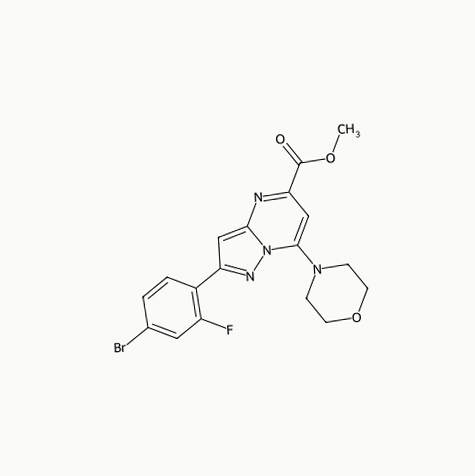 COC(=O)c1cc(N2CCOCC2)n2nc(-c3ccc(Br)cc3F)cc2n1